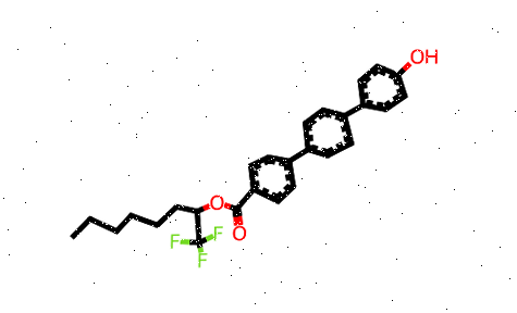 CCCCCCC(OC(=O)c1ccc(-c2ccc(-c3ccc(O)cc3)cc2)cc1)C(F)(F)F